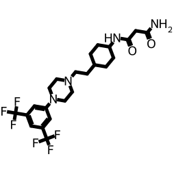 NC(=O)CC(=O)NC1CCC(CCN2CCN(c3cc(C(F)(F)F)cc(C(F)(F)F)c3)CC2)CC1